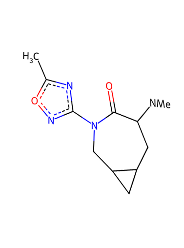 CNC1CC2CC2CN(c2noc(C)n2)C1=O